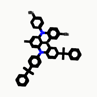 CC1=CC2C3B(C4=C(C=CC(C(C)(C)c5ccccc5)C4)N(c4ccc(C(C)(C)c5ccccc5)cc4)C3=C1)c1cc(C(C)(C)C)ccc1N2C1=CC=C(C(C)(C)C)CC1